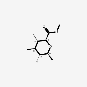 COC(=O)[C@H]1O[C@@H](C)[C@H](C)[C@@H](C)[C@@H]1C